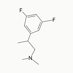 CC(CN(C)C)c1cc(F)cc(F)c1